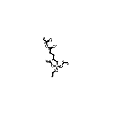 CCO[Si](CCCCC(=O)OC(C)=O)(OCC)OCC